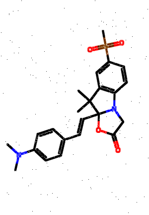 CN(C)c1ccc(/C=C/C23OC(=O)CN2c2ccc(S(C)(=O)=O)cc2C3(C)C)cc1